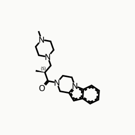 C[C@@H](CN1CCN(C)CC1)C(=O)N1CCn2c(cc3ccccc32)C1